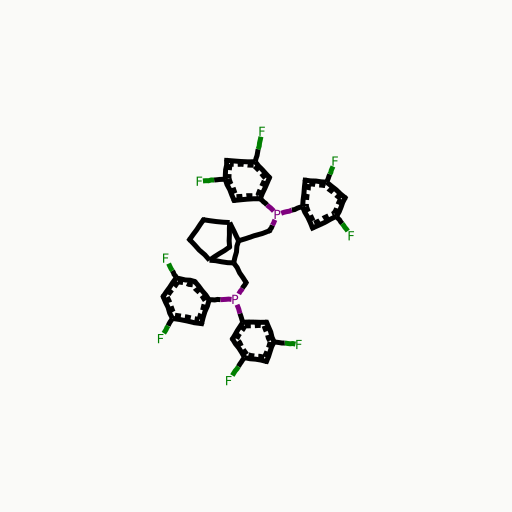 Fc1cc(F)cc(P(CC2C3CCC(C3)C2CP(c2cc(F)cc(F)c2)c2cc(F)cc(F)c2)c2cc(F)cc(F)c2)c1